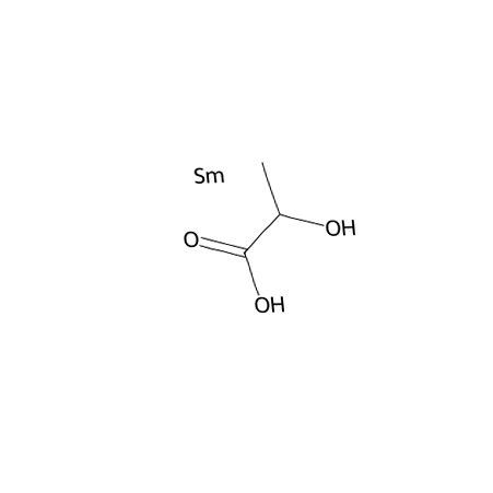 CC(O)C(=O)O.[Sm]